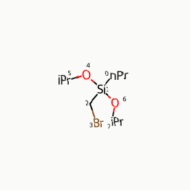 CCC[Si](CBr)(OC(C)C)OC(C)C